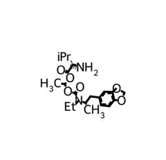 CCN(C(=O)OC(C)OC(=O)[C@@H](N)C(C)C)C(C)Cc1ccc2c(c1)OCO2